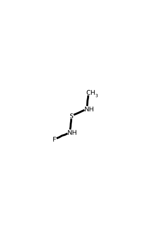 CNSNF